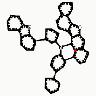 c1ccc(-c2ccc(N(c3cccc(-c4cccc5c4sc4ccccc45)c3)c3cccc4oc5c6ccccc6ccc5c34)c(-c3ccccc3)c2)cc1